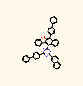 c1ccc(-c2ccc(-c3nc(-c4ccc5ccccc5c4)nc(-c4c5ccccc5c(-c5ccc(-c6ccccc6)cc5)c5oc6ccccc6c45)n3)cc2)cc1